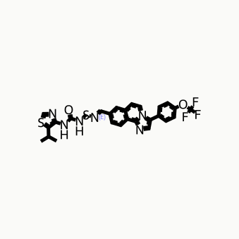 CC(C)c1scnc1NC(=O)NS/N=C/c1ccc2c(ccn3c(-c4ccc(OC(F)(F)F)cc4)cnc23)c1